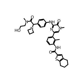 Cc1c(NC(=O)c2cc3c(s2)CCCC3)cccc1-c1cn(C)c(=O)c(Nc2ccc(C(C(=O)N(C)CCO)N3CCC3)cc2)n1